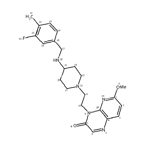 COc1ccc2ncc(=O)n(CCN3CCC(NCc4ccc(C)c(F)c4)CC3)c2n1